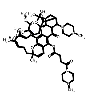 COC(=O)/C(C)=C\CC12OC(C)(C)C3CC(C1=O)C(N1CCN(C)CC1)C1C(=O)c4c(OC(=O)CCC(=O)N5CCN(C)CC5)c5c(c(CC=C(C)C)c4OC132)OC(C)(CCC=C(C)C)C=C5